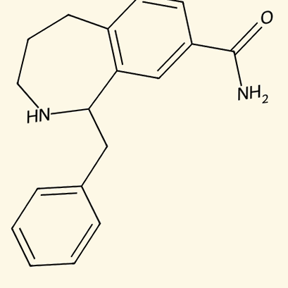 NC(=O)c1ccc2c(c1)C(Cc1ccccc1)NCCC2